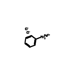 Pc1ccccc1.[Cl-].[Cl-].[Pd+2]